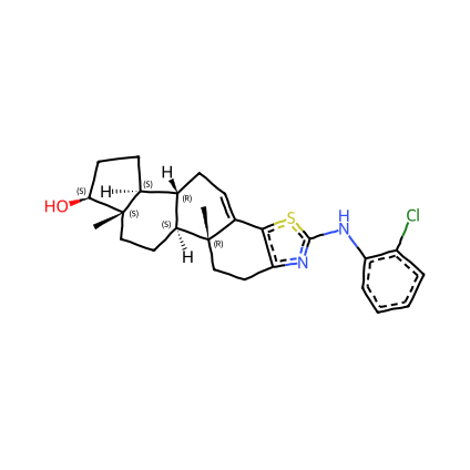 C[C@]12CC[C@H]3[C@@H](CC=C4c5sc(Nc6ccccc6Cl)nc5CC[C@@]43C)[C@@H]1CC[C@@H]2O